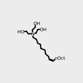 CCCCCCCC/C=C\CCCCCCCC[N+](CCO)(CCO)CCO